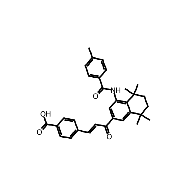 Cc1ccc(C(=O)Nc2cc(C(=O)/C=C/c3ccc(C(=O)O)cc3)cc3c2C(C)(C)CCC3(C)C)cc1